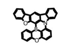 c1ccc2c(c1)Oc1cccc3c1B2c1c2oc4ccccc4c2cc2c4ccccc4n-3c12